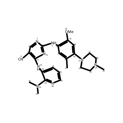 [C-]#[N+]c1cnc(Nc2cc(C)c(N3CCN(C)CC3)cc2OC)nc1Nc1cccnc1N(C)C